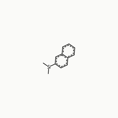 C[Si](C)c1ccc2ccccc2c1